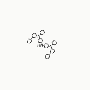 c1ccc(-c2cccc(N(c3ccccc3)c3ccc(Nc4ccc(N(c5ccccc5)c5cccc(-c6ccccc6)c5)cc4)cc3)c2)cc1